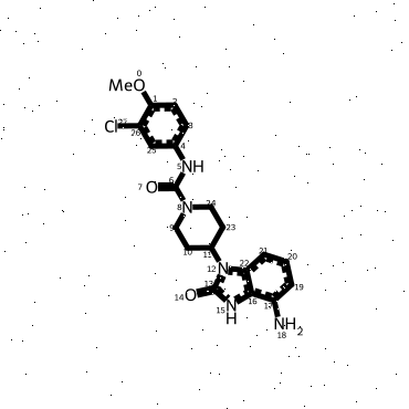 COc1ccc(NC(=O)N2CCC(n3c(=O)[nH]c4c(N)cccc43)CC2)cc1Cl